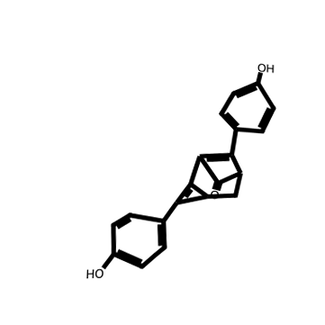 O=C1C2=C(c3ccc(O)cc3)C1CC1C2=C1c1ccc(O)cc1